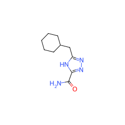 NC(=O)c1nnc(CC2CCCCC2)[nH]1